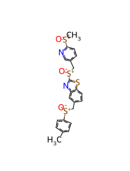 Cc1ccc([S+]([O-])Cc2ccc3sc([S+]([O-])Cc4ccc([S+](C)[O-])nc4)nc3c2)cc1